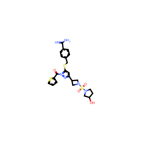 N=C(N)c1ccc(CSc2cc(C3CN(S(=O)(=O)N4CCC(O)C4)C3)nn2C(=O)c2cccs2)cc1